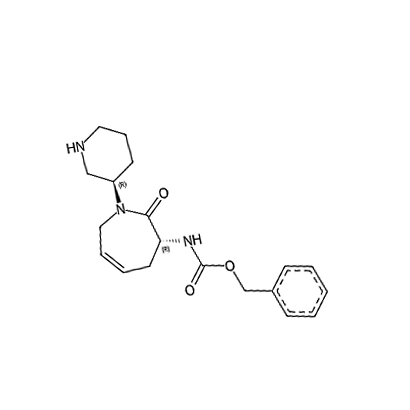 O=C(N[C@@H]1CC=CCN([C@@H]2CCCNC2)C1=O)OCc1ccccc1